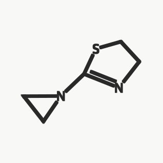 C1CSC(N2CC2)=N1